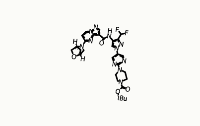 CC(C)(C)OC(=O)N1CCN(c2ncc(-n3cc(NC(=O)c4cnn5ccc(N6C[C@H]7C[C@@H]6CO7)nc45)c(C(F)F)n3)cn2)CC1